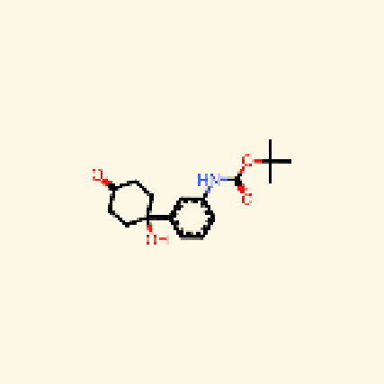 CC(C)(C)OC(=O)Nc1cccc(C2(O)CCC(=O)CC2)c1